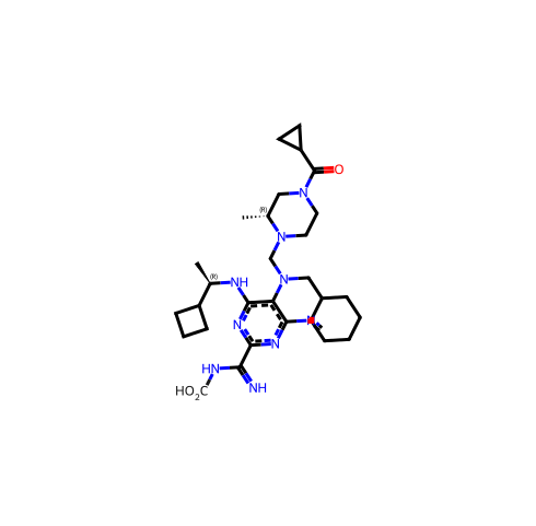 C=Nc1nc(C(=N)NC(=O)O)nc(N[C@H](C)C2CCC2)c1N(CC1CCCCC1)CN1CCN(C(=O)C2CC2)C[C@H]1C